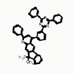 CC1(C)c2ccccc2-c2cc3c(-c4cccc(-c5nc(-c6ccccc6)nc(-c6ccccc6)n5)c4)cc(-c4ccccc4)nc3cc21